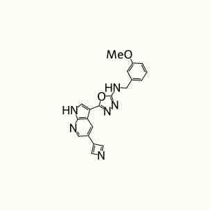 COc1cccc(CNc2nnc(-c3c[nH]c4ncc(C5=CN=C5)cc34)o2)c1